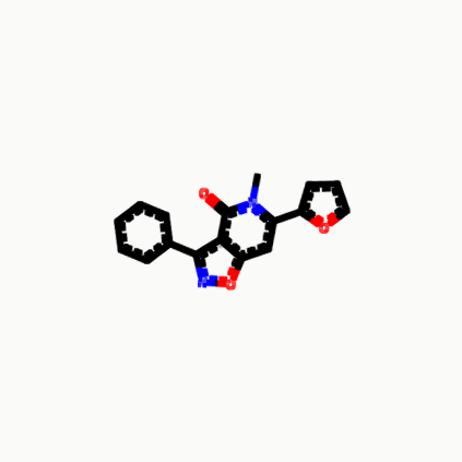 Cn1c(-c2ccco2)cc2onc(-c3ccccc3)c2c1=O